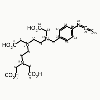 O=C(O)CN(CCN(CC(=O)O)CC(=O)O)CCN(CC(=O)O)Cc1ccc(N=C=S)cc1